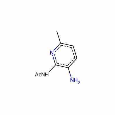 CC(=O)Nc1nc(C)ccc1N